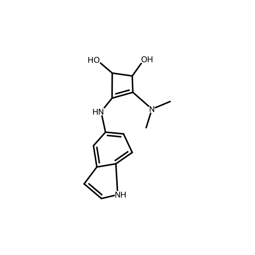 CN(C)C1=C(Nc2ccc3[nH]ccc3c2)C(O)C1O